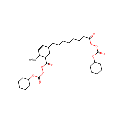 CCCCCCC1C=CC(CCCCCCCC(=O)OOC(=O)OC2CCCCC2)CC1C(=O)OOC(=O)OC1CCCCC1